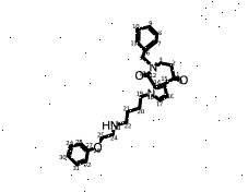 O=C1CCN(Cc2ccccc2)C(=O)c2c1ccn2CCCCNCCOc1ccccc1